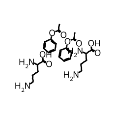 CC(=O)Oc1ccccc1.CC(=O)Oc1ccccc1.NCCCC(N)C(=O)O.NCCCC(N)C(=O)O